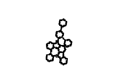 c1ccc(-c2ccc(-n3c4cccc5c6ccccc6n6c7ccccc7c7ccc3c(c54)c76)c(-c3ccccc3)c2)cc1